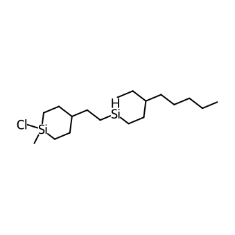 CCCCCC1CC[SiH](CCC2CC[Si](C)(Cl)CC2)CC1